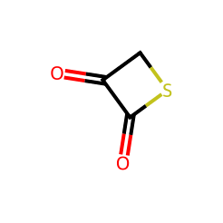 O=C1CSC1=O